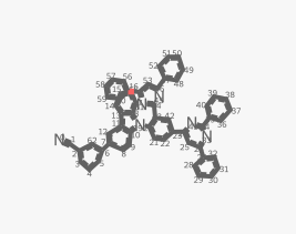 N#Cc1cccc(-c2ccc3c(c2)c2ccccc2n3-c2ccc(-c3cc(-c4ccccc4)nc(-c4ccccc4)n3)cc2-c2nc(-c3ccccc3)cc(-c3ccccc3)n2)c1